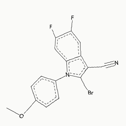 COc1ccc(-n2c(Br)c(C#N)c3cc(F)c(F)cc32)cc1